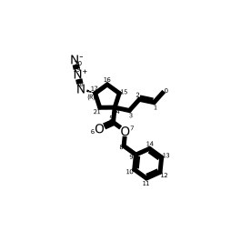 CC=CCC1(C(=O)OCc2ccccc2)CC[C@@H](N=[N+]=[N-])C1